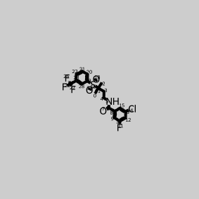 CC(C)(CCNC(=O)c1cc(F)cc(Cl)c1)S(=O)(=O)c1cccc(C(F)(F)F)c1